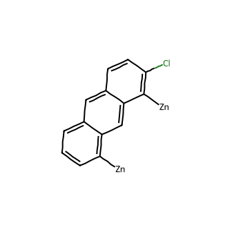 Clc1ccc2cc3ccc[c]([Zn])c3cc2[c]1[Zn]